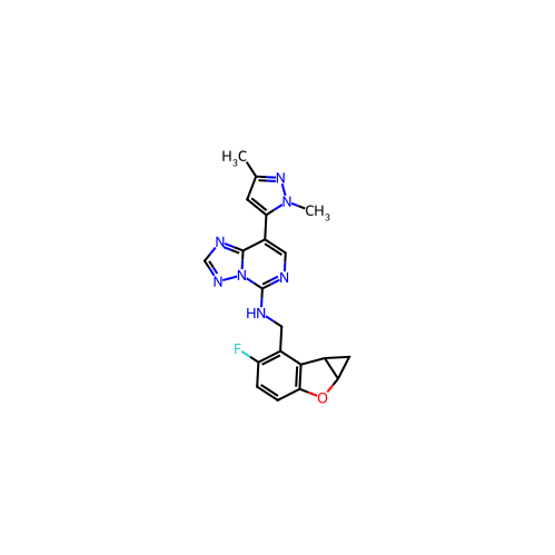 Cc1cc(-c2cnc(NCc3c(F)ccc4c3C3CC3O4)n3ncnc23)n(C)n1